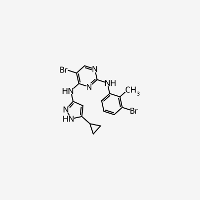 Cc1c(Br)cccc1Nc1ncc(Br)c(Nc2cc(C3CC3)[nH]n2)n1